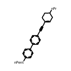 CCCCCc1ccc(-c2ccc(C#CC3=CCC(CCC)CC3)cc2)cc1